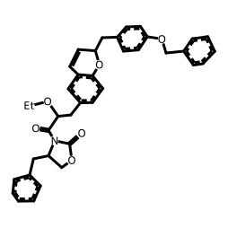 CCOC(Cc1ccc2c(c1)C=CC(Cc1ccc(OCc3ccccc3)cc1)O2)C(=O)N1C(=O)OCC1Cc1ccccc1